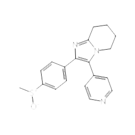 C[S+]([O-])c1ccc(-c2nc3n(c2-c2ccncc2)CCCC3)cc1